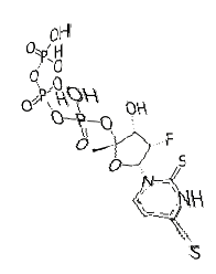 C[C@]1(OP(=O)(O)OP(=O)(O)OP(=O)(O)O)O[C@@H](n2ccc(=S)[nH]c2=S)[C@@H](F)[C@H]1O